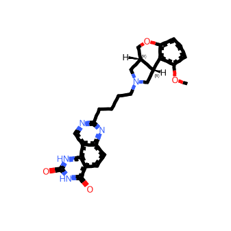 COc1cccc2c1[C@@H]1CN(CCCCc3ncc4c(ccc5c(=O)[nH]c(=O)[nH]c54)n3)C[C@@H]1CO2